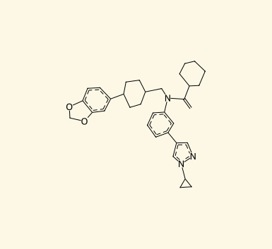 C=C(C1CCCCC1)N(CC1CCC(c2ccc3c(c2)OCO3)CC1)c1cccc(-c2cnn(C3CC3)c2)c1